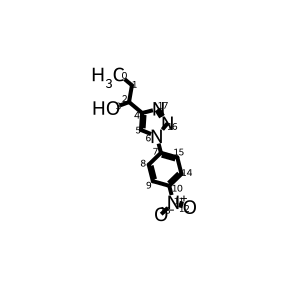 CCC(O)c1cn(-c2ccc([N+](=O)[O-])cc2)nn1